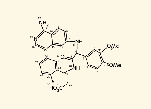 COc1ccc(C(Nc2ccc3c(N)nccc3c2)C(=O)N[C@H](CC(=O)O)c2ccccc2F)cc1OC